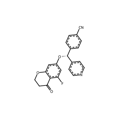 N#Cc1ccc([C@@H](Oc2cc(F)c3c(c2)OCCC3=O)c2ccncc2)cc1